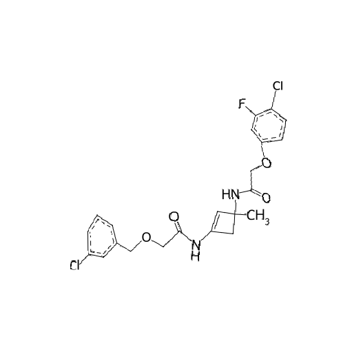 CC1(NC(=O)COc2ccc(Cl)c(F)c2)C=C(NC(=O)COCc2cccc(Cl)c2)C1